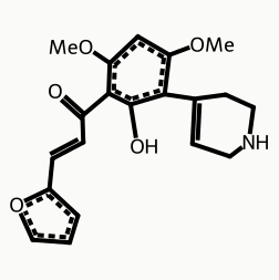 COc1cc(OC)c(C2=CCNCC2)c(O)c1C(=O)/C=C/c1ccco1